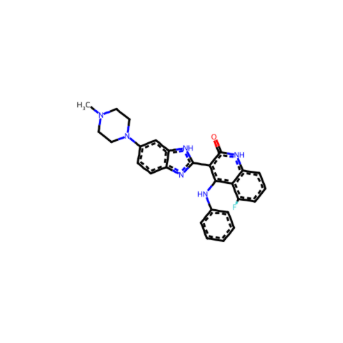 CN1CCN(c2ccc3nc(-c4c(Nc5ccccc5)c5c(F)cccc5[nH]c4=O)[nH]c3c2)CC1